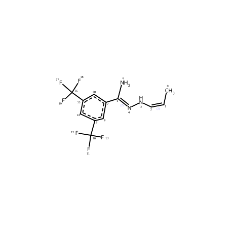 C/C=C\N/N=C(\N)c1cc(C(F)(F)F)cc(C(F)(F)F)c1